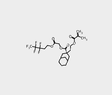 C=C(C)C(=O)OCCC1(C(=O)OCC(=O)OCCC(F)(F)C(F)(F)C(F)(F)F)CC2CCCC(C2)C1